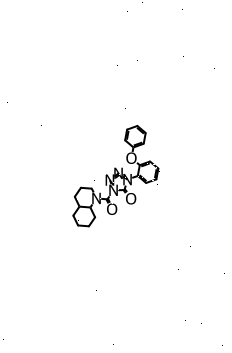 O=C(N1CCCC2CCCCC21)n1nnn(-c2ccccc2Oc2ccccc2)c1=O